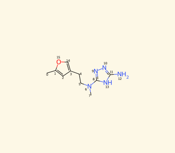 Cc1cc(CCN(C)c2nnc(N)[nH]2)co1